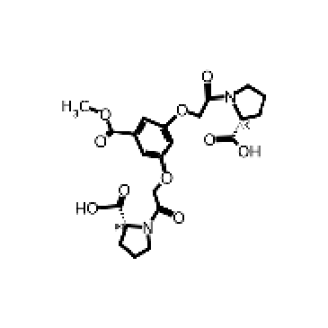 COC(=O)c1cc(OCC(=O)N2CCC[C@@H]2C(=O)O)cc(OCC(=O)N2CCC[C@@H]2C(=O)O)c1